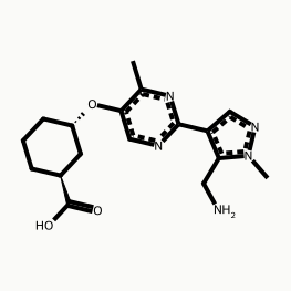 Cc1nc(-c2cnn(C)c2CN)ncc1O[C@H]1CCC[C@H](C(=O)O)C1